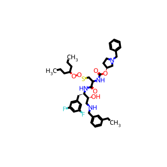 CCCC(CCC)OOSCC(NC(=O)O[C@@H]1CCN(Cc2ccccc2)C1)C(=O)N[C@@H](Cc1cc(F)cc(F)c1)[C@H](O)CNCc1cccc(CC)c1